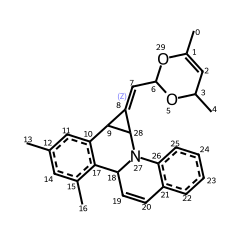 CC1=CC(C)OC(/C=C2/C3c4cc(C)cc(C)c4C4C=Cc5ccccc5N4C23)O1